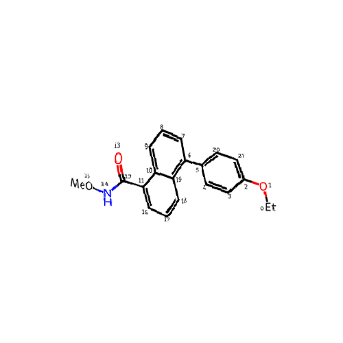 CCOc1ccc(-c2cccc3c(C(=O)NOC)cccc23)cc1